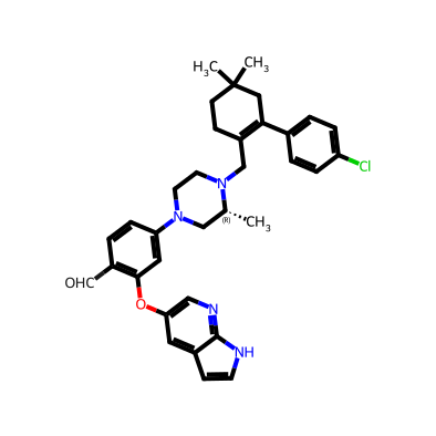 C[C@@H]1CN(c2ccc(C=O)c(Oc3cnc4[nH]ccc4c3)c2)CCN1CC1=C(c2ccc(Cl)cc2)CC(C)(C)CC1